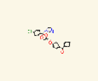 O=C(c1ccccc1)c1ccc(OC[C@@H]2CO[C@@](Cn3ccnc3)(c3ccc(Cl)cc3)O2)cc1